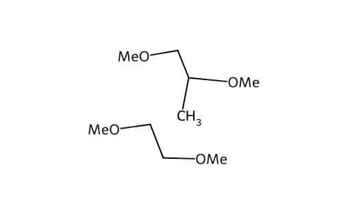 COCC(C)OC.COCCOC